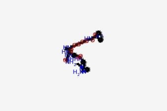 CCCCN1N=C2C(N)=Nc3ccccc3C2C1Cc1ccc(CNC(=O)OCc2ccc(NC(=O)[C@H](CCCNC(N)=O)NC(=O)[C@@H](NC(=O)CCOCCOCCOCCOCCNC(=O)CCC(=O)N3Cc4ccccc4/C=C\c4ccccc43)C(C)C)cc2)cc1